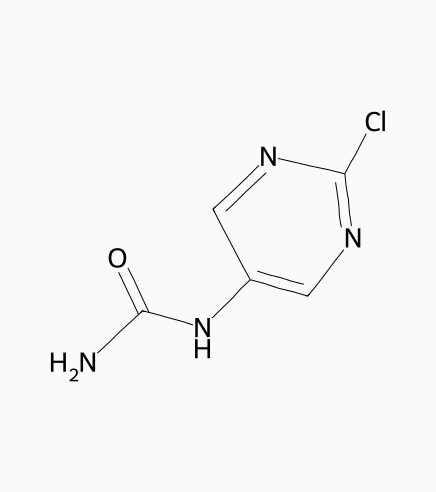 NC(=O)Nc1cnc(Cl)nc1